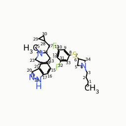 CCCCN1CC(Sc2cc(F)c([C@@H]3c4ccc5[nH]ncc5c4CN(C)[C@H]3CC3CC3)c(F)c2)C1